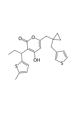 CCC(c1ccc(C)s1)c1c(O)cc(CC2(Cc3ccsc3)CC2)oc1=O